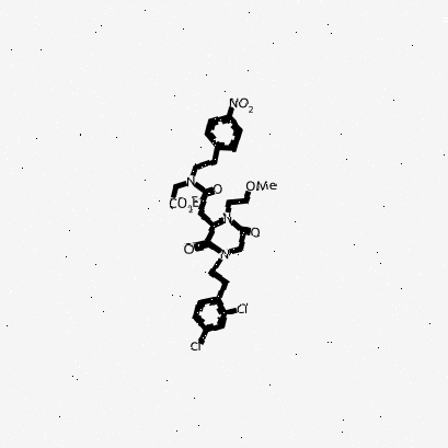 CCOC(=O)CN(CCc1ccc([N+](=O)[O-])cc1)C(=O)CC1C(=O)N(CCc2ccc(Cl)cc2Cl)CC(=O)N1CCOC